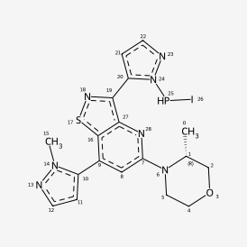 C[C@@H]1COCCN1c1cc(-c2ccnn2C)c2snc(-c3ccnn3PI)c2n1